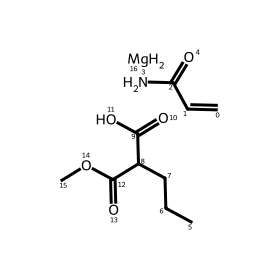 C=CC(N)=O.CCCC(C(=O)O)C(=O)OC.[MgH2]